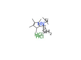 CC1=C(C)C(C)[C]([Ti]([CH3])([CH3])(=[SiH2])[NH][Si](C)(C)C)=C1C.Cl.Cl